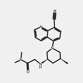 C[C@H]1C[C@@H](NCC(=O)N(C)C)CN(c2ccc(C#N)c3ncccc23)C1